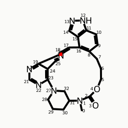 CN1C(=O)OCCCc2ccc3[nH]ncc3c2-c2cc3ncnc(c3cn2)N2CCCC1C2